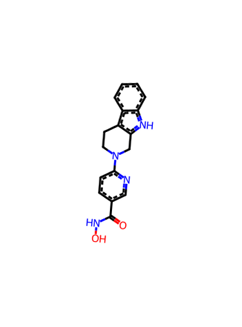 O=C(NO)c1ccc(N2CCc3c([nH]c4ccccc34)C2)nc1